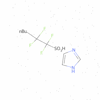 CCCCC(F)(F)C(F)(F)S(=O)(=O)O.c1c[nH]cn1